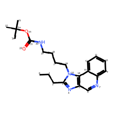 CCCc1nc2cnc3ccccc3c2n1CCCCNC(=O)OC(C)(C)C